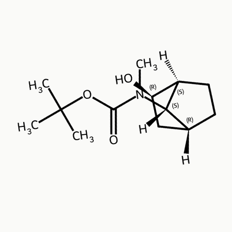 CN(C(=O)OC(C)(C)C)[C@H]1[C@@H]2CC[C@@H]1[C@H](O)C2